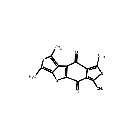 Cc1sc(C)c2c1C(=O)c1sc3c(C)sc(C)c3c1C2=O